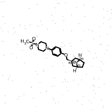 CS(=O)(=O)N1CCN(c2ccc(OC[C@H]3C[C@H]4CC[C@@H](C3)N4)cc2)CC1